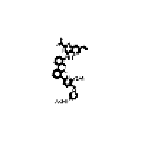 C=Cc1cnc2c(Nc3cccc(-c4cccc(-c5ccc(CN6CC[C@@H](NC(C)=O)C6)c(OC)n5)c4Cl)c3C)nc(C(F)F)nc2c1